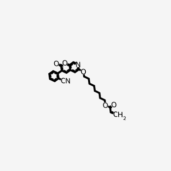 C=CC(=O)OCCCCCCCCOc1cc2cc(-c3ccccc3C#N)c(=O)oc2cn1